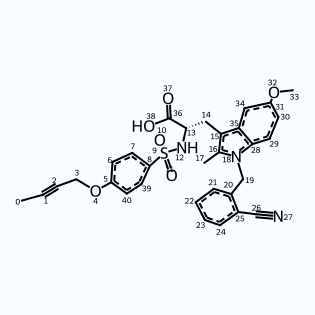 CC#CCOc1ccc(S(=O)(=O)N[C@@H](Cc2c(C)n(Cc3ccccc3C#N)c3ccc(OC)cc23)C(=O)O)cc1